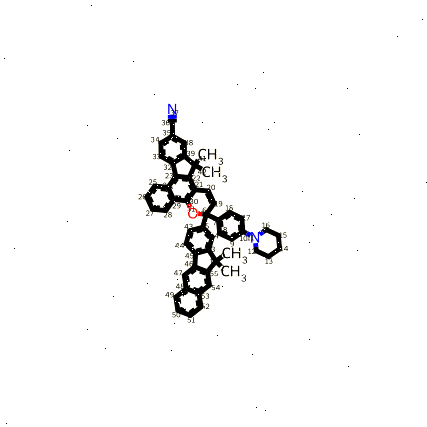 CC1(C)c2cc(C3(c4ccc(N5CCCCC5)cc4)C=Cc4c5c(c6ccccc6c4O3)-c3ccc(C#N)cc3C5(C)C)ccc2-c2cc3ccccc3cc21